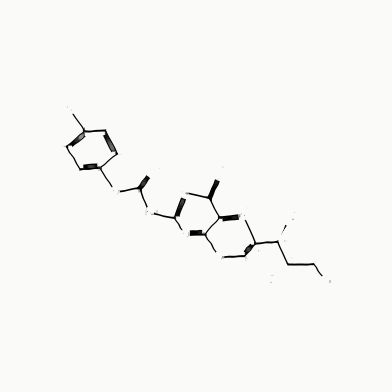 O=C(Nc1ccc([N+](=O)[O-])cc1)Nc1nc2[nH]cc([C@@H](O)[C@@H](O)CO)nc-2c(=O)n1